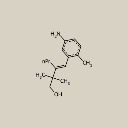 CCC/C(=C\c1cc(N)ccc1C)C(C)(C)CO